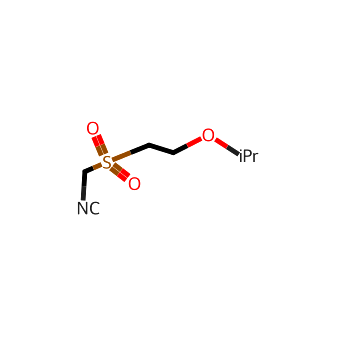 [C-]#[N+]CS(=O)(=O)CCOC(C)C